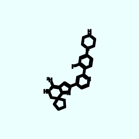 [2H]C1=C2C=C(c3ccnc(-c4ccc(N5CCNCC5)cc4F)c3)N=C2C2(CCCC2)CN1